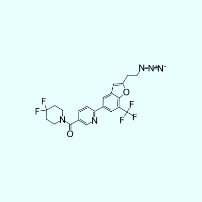 [N-]=[N+]=NCCc1cc2cc(-c3ccc(C(=O)N4CCC(F)(F)CC4)cn3)cc(C(F)(F)F)c2o1